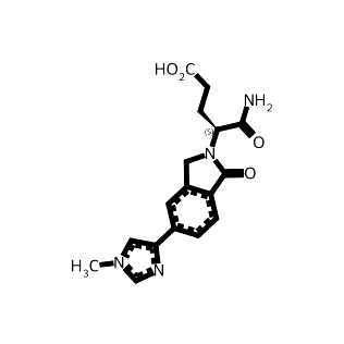 Cn1cnc(-c2ccc3c(c2)CN([C@@H](CCC(=O)O)C(N)=O)C3=O)c1